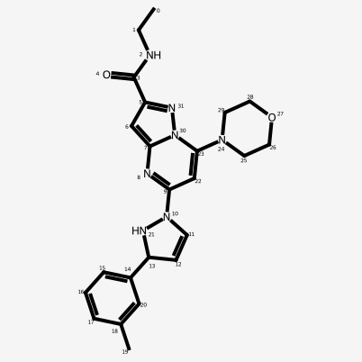 CCNC(=O)c1cc2nc(N3C=CC(c4cccc(C)c4)N3)cc(N3CCOCC3)n2n1